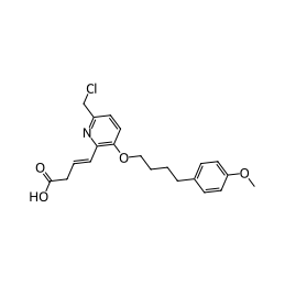 COc1ccc(CCCCOc2ccc(CCl)nc2C=CCC(=O)O)cc1